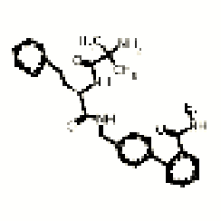 CCNC(=O)c1ccccc1-c1ccc(CNC(=O)[C@@H](CCc2ccccc2)NC(=O)C(C)(C)N)cc1